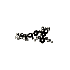 COc1cccc(OC)c1-c1cc2cc[nH]c(=O)c2c(Nc2ccc(C3CCN(C(=O)OC(C)(C)C)CC3)cc2)n1